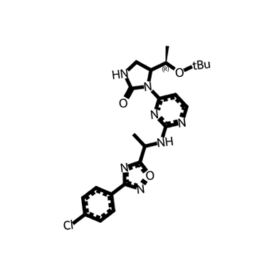 CC(Nc1nccc(N2C(=O)NCC2[C@@H](C)OC(C)(C)C)n1)c1nc(-c2ccc(Cl)cc2)no1